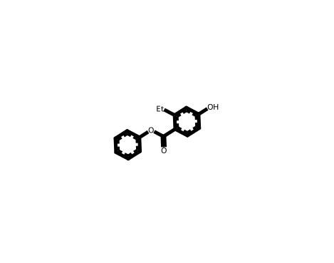 CCc1cc(O)ccc1C(=O)Oc1ccccc1